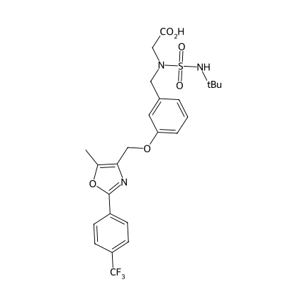 Cc1oc(-c2ccc(C(F)(F)F)cc2)nc1COc1cccc(CN(CC(=O)O)S(=O)(=O)NC(C)(C)C)c1